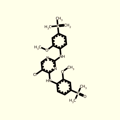 C=P(C)(C)c1ccc(Nc2ncc(Cl)c(Nc3ccc(P(C)(C)=O)cc3OC)n2)c(OC)c1